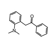 CN(C)c1ccccc1CC(=O)c1ccccc1